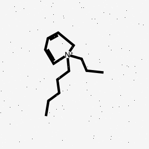 CCCCC[N+]1(CCC)C=CC=CC1